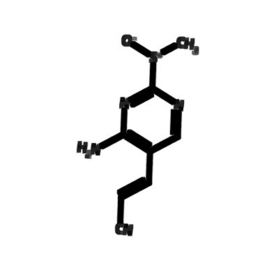 C[S+]([O-])c1ncc(C=CC#N)c(N)n1